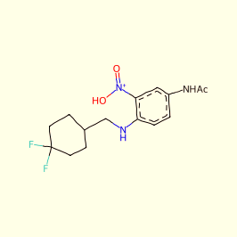 CC(=O)Nc1ccc(NCC2CCC(F)(F)CC2)c([N+](=O)O)c1